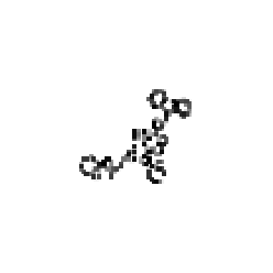 CC(CCOCC(NC(=O)OCC1c2ccccc2-c2ccccc21)C(=O)OC1CCCCO1)OC1CCCCO1